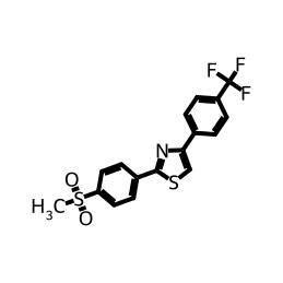 CS(=O)(=O)c1ccc(-c2nc(-c3ccc(C(F)(F)F)cc3)cs2)cc1